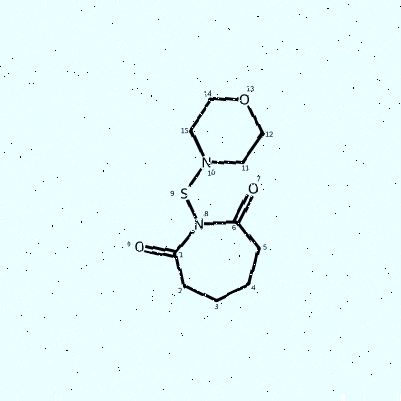 O=C1CCCCC(=O)N1SN1CCOCC1